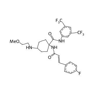 COCCNC1CCC(NC(=O)C=Cc2ccc(F)cc2)(C(=O)Nc2cc(C(F)(F)F)cc(C(F)(F)F)c2)CC1